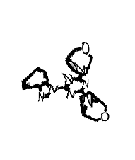 c1ccc2c(c1)ncn2-c1nc(N2C3CCC2COC3)nc(N2C3CCC2COC3)n1